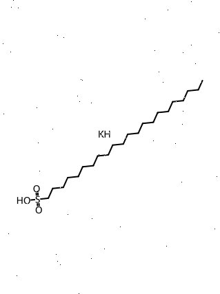 CCCCCCCCCCCCCCCCCCCCCCS(=O)(=O)O.[KH]